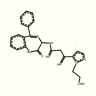 COCCn1nccc1C(=N)CC(=N)NC1N=C(c2ccccc2)c2ccccc2NC1=O